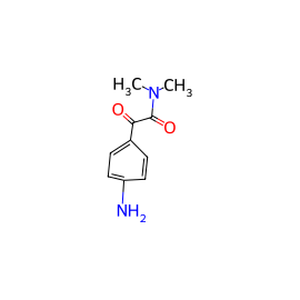 CN(C)C(=O)C(=O)c1ccc(N)cc1